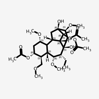 CC[C@@H]1[C@H](OC)[C@H]2C([C@@H](OC)C[C@@H](OC(C)=O)[C@@H]2COC)[C@@H]2C[C@@]3(O)[C@H](OC(C)=O)[C@@H]2[C@]1(O)[C@@H](OC(C)=O)[C@@H]3OC